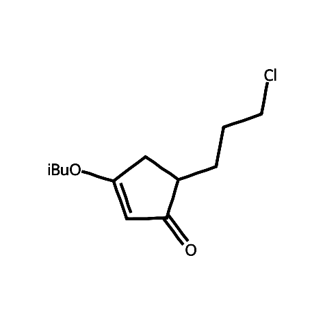 CC(C)COC1=CC(=O)C(CCCCl)C1